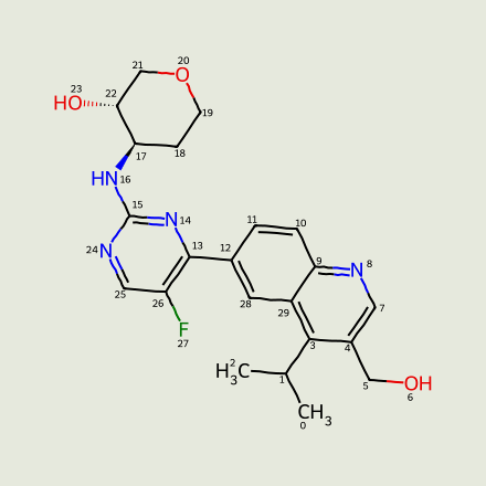 CC(C)c1c(CO)cnc2ccc(-c3nc(N[C@@H]4CCOC[C@H]4O)ncc3F)cc12